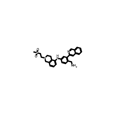 CS(=O)(=O)CCN1CCc2c(cccc2Nc2ccc(CN)c(-c3cc4ccccc4cn3)c2)C1